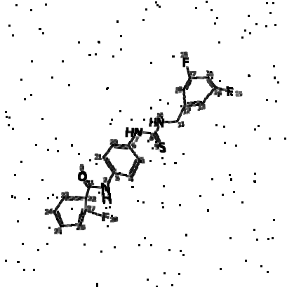 O=C(Nc1ccc(NC(=S)NCc2cc(F)cc(F)c2)cc1)c1ccccc1F